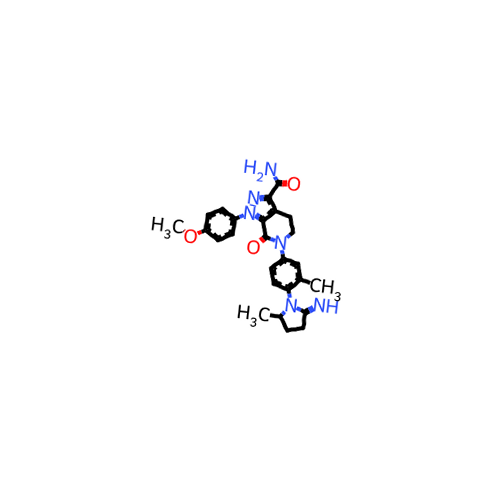 COc1ccc(-n2nc(C(N)=O)c3c2C(=O)N(c2ccc(N4C(=N)CCC4C)c(C)c2)CC3)cc1